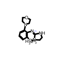 Cc1cccc(N2CCOCC2)c1/N=C1/NCCN1C